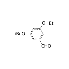 CCOc1cc(C=O)cc(OCC(C)C)c1